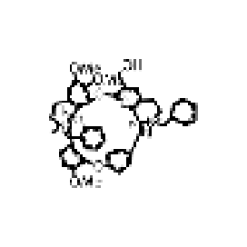 COc1ccc2cc1Oc1ccc(cc1)C[C@H]1c3cc(c(CO)cc3CC[N+]1(C)Cc1ccccc1)Oc1c(OC)c(OC)cc3c1[C@H](C2)[N+](C)(Cc1ccccc1)CC3